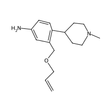 C=CCOCc1cc(N)ccc1C1CCN(C)CC1